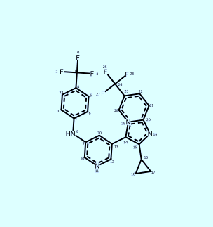 FC(F)(F)c1ccc(Nc2cncc(-c3c(C4CC4)nc4ccc(C(F)(F)F)cn34)c2)cc1